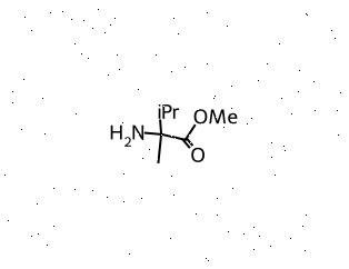 COC(=O)C(C)(N)C(C)C